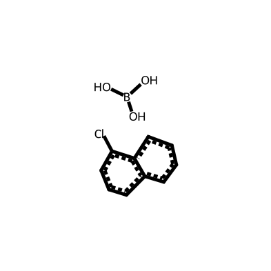 Clc1cccc2ccccc12.OB(O)O